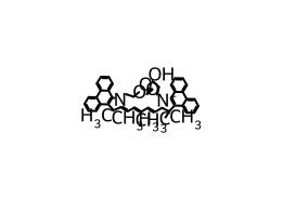 CC(/C=C/C1=[N+](CCC(=O)O)c2c(c3ccccc3c3ccccc23)C1(C)C)=C\C=C1/N(CCOC=O)c2c(c3ccccc3c3ccccc23)C1(C)C